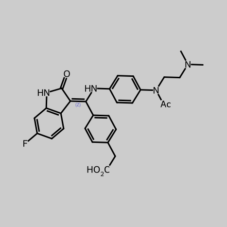 CC(=O)N(CCN(C)C)c1ccc(N/C(=C2\C(=O)Nc3cc(F)ccc32)c2ccc(CC(=O)O)cc2)cc1